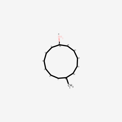 B[C@@H]1CCCCCCC(C)CCCCC1